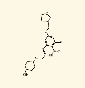 O=c1[nH]c(CSC2CCC(O)CC2)nc2cc(OCC3CCOC3)cc(F)c12